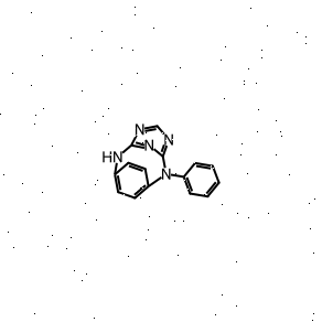 c1ccc(N2c3ccc(cc3)Nc3ncnc2n3)cc1